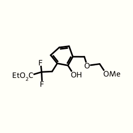 CCOC(=O)C(F)(F)Cc1cccc(COCOC)c1O